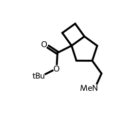 CNCC1CC2CCC2(C(=O)OC(C)(C)C)C1